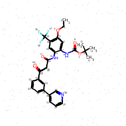 CCOc1cc(NC(=O)OC(C)(C)C)c(NC(=O)CC(=O)c2cccc(-c3cccnc3)c2)cc1C(F)(F)F